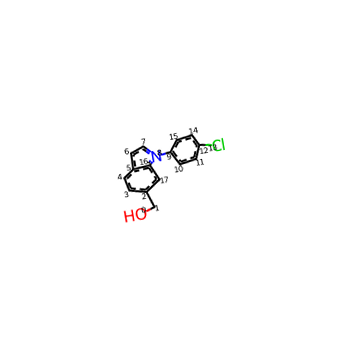 OCc1ccc2ccn(-c3ccc(Cl)cc3)c2c1